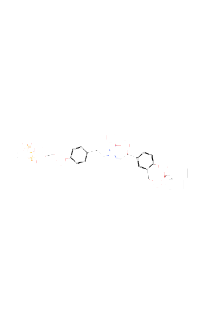 CC1(C)OCc2cc(C3CN(CCc4ccc(OCCOS(C)(=O)=O)cc4)C(=O)O3)ccc2O1